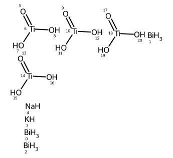 [BiH3].[BiH3].[BiH3].[KH].[NaH].[O]=[Ti]([OH])[OH].[O]=[Ti]([OH])[OH].[O]=[Ti]([OH])[OH].[O]=[Ti]([OH])[OH]